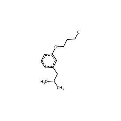 CC(C)Cc1cccc(OCCCCl)c1